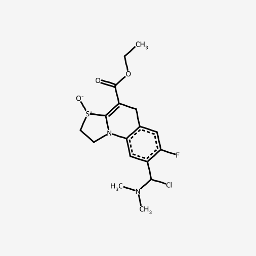 CCOC(=O)C1=C2N(CC[S+]2[O-])c2cc(C(Cl)N(C)C)c(F)cc2C1